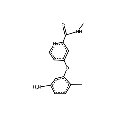 CNC(=O)c1cc(Oc2cc(N)ccc2C)ccn1